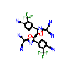 N#CC(C#N)=c1nc(-c2ccc(C#N)c(C(F)(F)F)c2)/c(=c2\oc(=C(C#N)C#N)nc2-c2ccc(C#N)c(C(F)(F)F)c2)o1